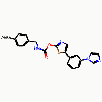 COc1ccc(CNC(=O)Oc2ncc(-c3cccc(-n4ccnc4)c3)s2)cc1